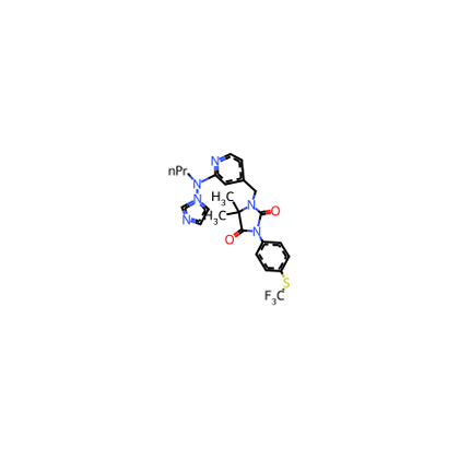 CCCN(c1cc(CN2C(=O)N(c3ccc(SC(F)(F)F)cc3)C(=O)C2(C)C)ccn1)n1ccnc1